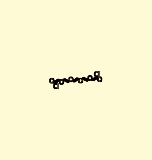 O=C(Cl)COCCOCCOCCOCC(=O)Cl